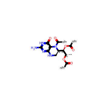 CCCC(=O)O[C@@H]([C@H](C)OC(=O)CCC)[C@H]1CNc2nc(N)[nH]c(=O)c2N1C(=O)CCC